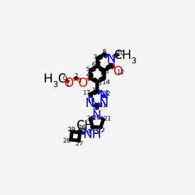 COCOc1cc2ccn(C)c(=O)c2cc1-c1cnc(N2CCC(NC3(C)CCC3)C2)nn1